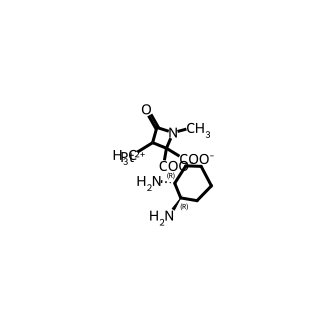 CC1C(=O)N(C)C1(C(=O)[O-])C(=O)[O-].N[C@@H]1CCCC[C@H]1N.[Pt+2]